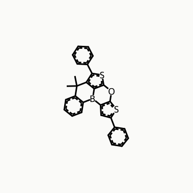 CC1(C)c2ccccc2B2c3cc(-c4ccccc4)sc3Oc3sc(-c4ccccc4)c1c32